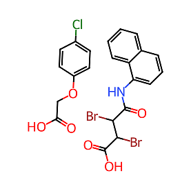 O=C(O)C(Br)C(Br)C(=O)Nc1cccc2ccccc12.O=C(O)COc1ccc(Cl)cc1